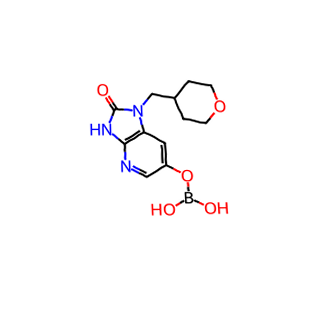 O=c1[nH]c2ncc(OB(O)O)cc2n1CC1CCOCC1